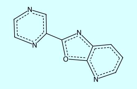 c1cnc2oc(-c3cnccn3)nc2c1